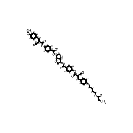 C=CC(=O)OCCCCOc1ccc(/C=C(\C#N)C(=O)Oc2ccc(C(=O)O[C@H]3COC4C3OC[C@H]4OC(=O)c3ccc(OC(=O)/C(C#N)=C/c4ccc(OC)cc4)cc3)cc2)cc1